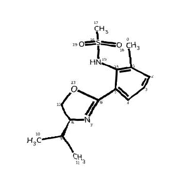 Cc1cccc(C2=N[C@@H](C(C)C)CO2)c1NS(C)(=O)=O